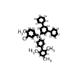 Cc1cc(C)c(-c2ccc(N(c3cc(-c4ccccc4)cc(-c4ccccc4)c3)c3ccc(C)c(Cl)c3)cc2)c(C)c1